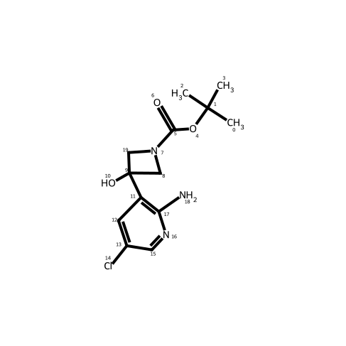 CC(C)(C)OC(=O)N1CC(O)(c2cc(Cl)cnc2N)C1